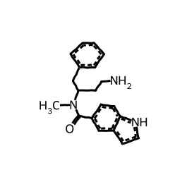 CN(C(=O)c1ccc2[nH]ccc2c1)C(CCN)Cc1ccccc1